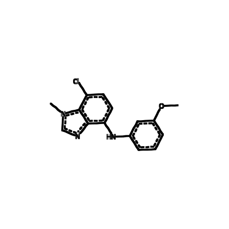 COc1cccc(Nc2ccc(Cl)c3c2ncn3C)c1